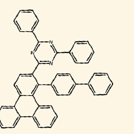 c1ccc(-c2ccc(-c3c(-c4nc(-c5ccccc5)nc(-c5ccccc5)n4)ccc4c5ccccc5c5ccccc5c34)cc2)cc1